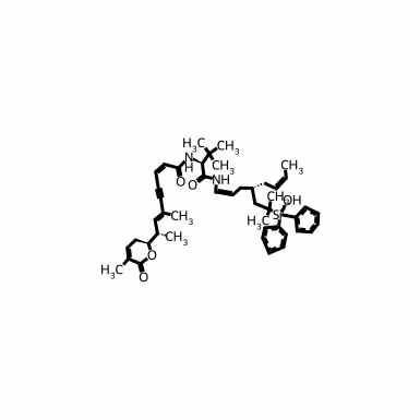 C/C=C\C[C@@H](C/C=C\NC(=O)[C@@H](NC(=O)/C=C\C#C/C(C)=C/[C@H](C)[C@@H]1CC=C(C)C(=O)O1)C(C)(C)C)CC(C)(C)[Si](O)(c1ccccc1)c1ccccc1